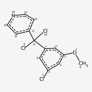 COc1cc(Cl)cc(C(Cl)(Cl)c2ccncc2)c1